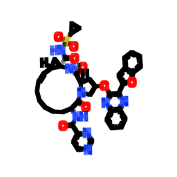 O=C(N[C@H]1CCCCC/C=C\[C@@H]2C[C@@]2(C(=O)NS(=O)(=O)C2CC2)NC(=O)[C@@H]2C[C@@H](Oc3nc4ccccc4nc3-c3cc4ccccc4o3)CN2C1=O)c1ccncn1